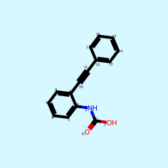 O=C(O)Nc1ccccc1C#Cc1ccccc1